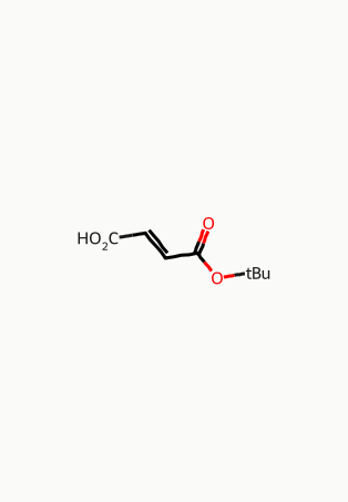 CC(C)(C)OC(=O)/C=C/C(=O)O